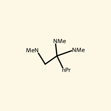 CCCC(CNC)(NC)NC